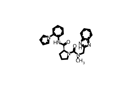 CN(Cc1nc2ccccc2[nH]1)C(=O)N1CCC[C@H]1C(=O)Nc1ccccc1-n1cccc1